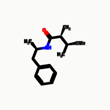 CO[C@@H](C)[C@@H](C)C(=O)N[C@H](C)Cc1ccccc1